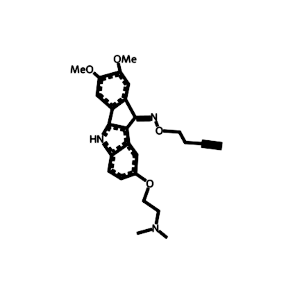 C#CCCO/N=C1/c2cc(OC)c(OC)cc2-c2[nH]c3ccc(OCCN(C)C)cc3c21